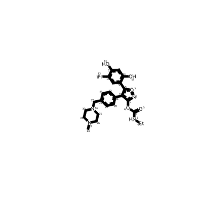 CCNC(=O)Oc1noc(-c2cc(C(C)C)c(O)cc2O)c1-c1ccc(CN2CCN(C)CC2)cc1